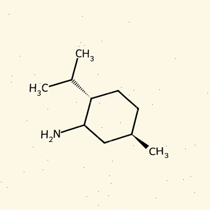 CC(C)[C@@H]1CC[C@@H](C)CC1N